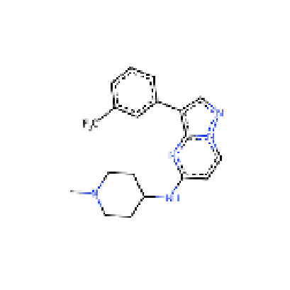 CN1CCC(Nc2ccn3ncc(-c4cccc(C(F)(F)F)c4)c3n2)CC1